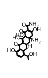 CC(O)c1ccc(O)c2c1C[C@H]1C[C@@]3(N)CC(O)=C(C(N)=O)C(=O)[C@@]3(O)C(O)=C1C2=O